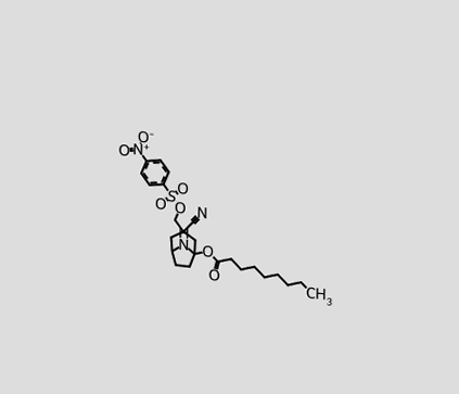 CCCCCCCCC(=O)OC12CCC(CC(C#N)(COS(=O)(=O)c3ccc([N+](=O)[O-])cc3)C1)N2